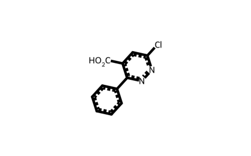 O=C(O)c1cc(Cl)nnc1-c1ccccc1